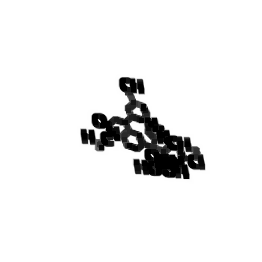 C#Cc1cccc(-c2cc(=O)n(C)c3ccc([C@](O[PH](O)(O)O)(c4ccc(Cl)cc4)c4cncn4C)cc23)c1